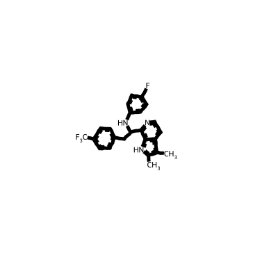 Cc1[nH]c2c(C(Cc3ccc(C(F)(F)F)cc3)Nc3ccc(F)cc3)nccc2c1C